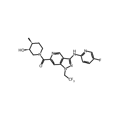 C[C@H]1CCN(C(=O)c2cc3c(cn2)c(Nc2ccc(F)cn2)nn3CC(F)(F)F)C[C@H]1O